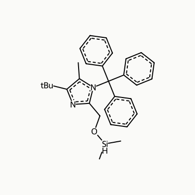 Cc1c(C(C)(C)C)nc(CO[SiH](C)C)n1C(c1ccccc1)(c1ccccc1)c1ccccc1